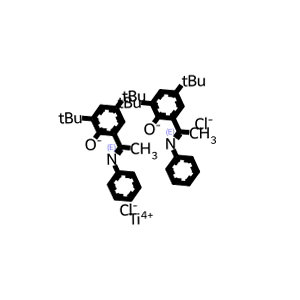 C/C(=N\c1ccccc1)c1cc(C(C)(C)C)cc(C(C)(C)C)c1[O-].C/C(=N\c1ccccc1)c1cc(C(C)(C)C)cc(C(C)(C)C)c1[O-].[Cl-].[Cl-].[Ti+4]